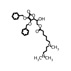 CN(C)CCCN(C)CCCCCC(=O)OCC(O)C1OC(=O)C(OCc2ccccc2)=C1OCc1ccccc1